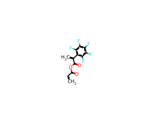 C=CC(=O)OC(=O)C(=C)c1c(F)c(F)c(F)c(F)c1F